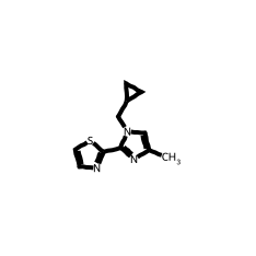 Cc1cn(CC2CC2)c(-c2nccs2)n1